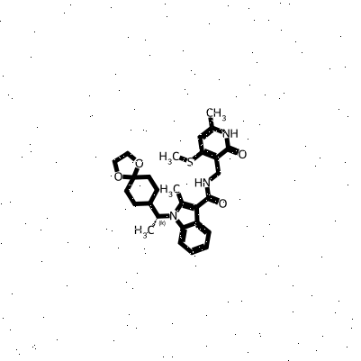 CSc1cc(C)[nH]c(=O)c1CNC(=O)c1c(C)n([C@H](C)C2CCC3(CC2)OCCO3)c2ccccc12